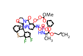 C=CCCOC(=O)[C@H](C)NP(=O)(O/N=c1\ccn2c(c1OCOC(=O)OC)C(=O)N1CCOC[C@H]1N2[C@@H]1c2ccccc2SCc2c1ccc(F)c2F)Oc1ccccc1